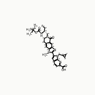 Cn1c(-c2cc3ccc(C(=O)O)nc3n2CC2CC2)nc2cc3c(cc21)CCN(C[C@@H](CF)NC(=O)OC(C)(C)C)C3=O